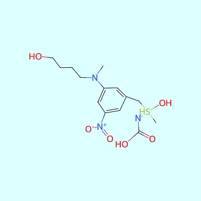 CN(CCCCO)c1cc(C[SH](C)(O)=NC(=O)O)cc([N+](=O)[O-])c1